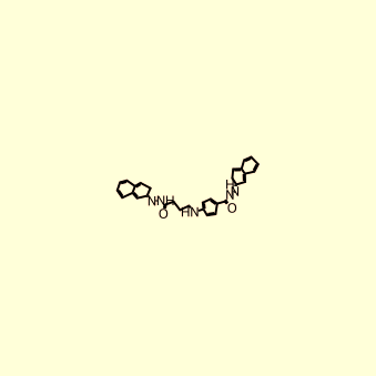 O=C(CCCNc1ccc(C(=O)NN=C2C=c3ccccc3=CC2)cc1)NN=C1C=c2ccccc2=CC1